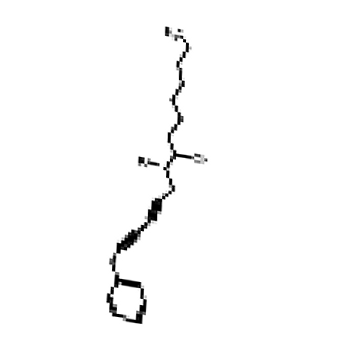 CCCCCCC[C@@H](O)[C@H](O)CC#CC#CCc1ccccc1